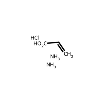 C=CC(=O)O.Cl.N.N